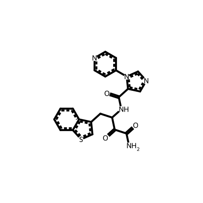 NC(=O)C(=O)C(Cc1csc2ccccc12)NC(=O)c1cncn1-c1ccncc1